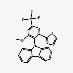 COc1cc(C(F)(F)F)cc(-c2cccs2)c1-n1c2ccccc2c2ccccc21